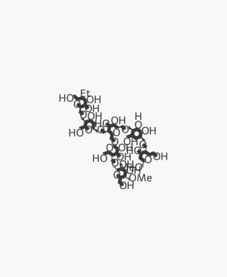 CC[C@@H]1C(CO)O[C@H](COC[C@H]2C(O)C[C@@H](COC[C@@H]3C(CO[C@H]4OC(CO)[C@@H](COC[C@H]5OC(CO)[C@@H](COC)C(O)C5O)C(O)C4O)O[C@H](COC[C@@H]4C(CO)C[C@H](COC[C@H]5C(O)C[C@@H](COC)OC5CO)C(O)C4O)C(O)C3O)OC2CO)C(O)C1O